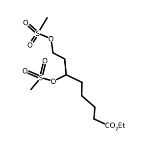 CCOC(=O)CCCCC(CCOS(C)(=O)=O)OS(C)(=O)=O